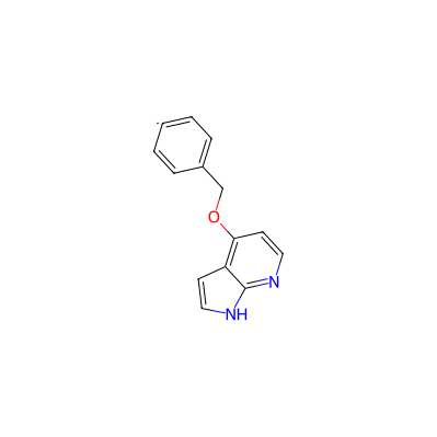 [c]1ccc(COc2ccnc3[nH]ccc23)cc1